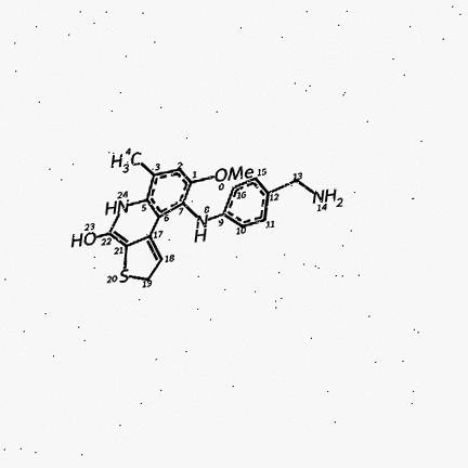 COc1cc(C)c2c(c1Nc1ccc(CN)cc1)C1=CCSC1=C(O)N2